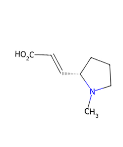 CN1CCC[C@H]1C=CC(=O)O